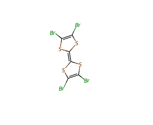 BrC1=C(Br)SC(=C2SC(Br)=C(Br)S2)S1